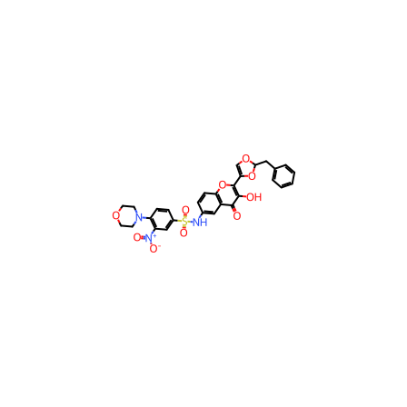 O=c1c(O)c(C2=COC(Cc3ccccc3)O2)oc2ccc(NS(=O)(=O)c3ccc(N4CCOCC4)c([N+](=O)[O-])c3)cc12